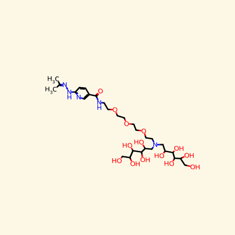 CC(C)=NNc1ccc(C(=O)NCCOCCOCCOCCN(CC(O)C(O)C(O)C(O)CO)CC(O)C(O)C(O)C(O)CO)cn1